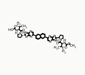 COC(=O)N[C@@H](C(=O)N1CCCC1c1nc2nc(-c3ccc4cc(-c5cnc6[nH]c([C@@H]7CCCN7C(=O)[C@@H](NC(=O)O)C(C)C)nc6n5)ccc4c3)cnc2[nH]1)C(C)C